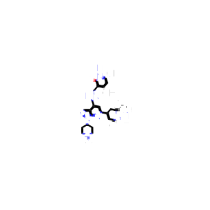 CC(=O)N1CCC(n2ncc3c(CNCc4c(C)cc(C)[nH]c4=O)cc(C4=CC(C)(C)NC(C)(C)C4)nc32)CC1